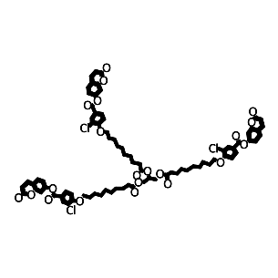 O=C(CCCCCCCCCOc1ccc(C(=O)Oc2ccc3ccc(=O)oc3c2)cc1Cl)OCC(COC(=O)CCCCCCCCCOc1ccc(C(=O)Oc2ccc3ccc(=O)oc3c2)cc1Cl)OC(=O)CCCCCCCCCOc1ccc(C(=O)Oc2ccc3ccc(=O)oc3c2)cc1Cl